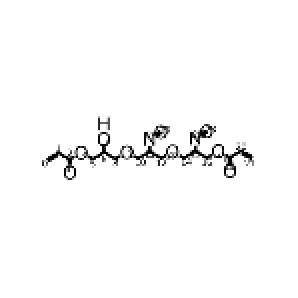 C=CC(=O)OCC(O)COCC(COCC(COC(=O)C=C)N=O)N=O